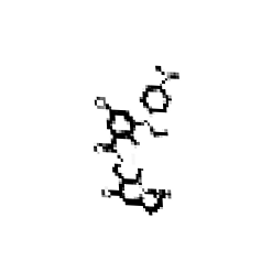 CCN(c1cc(Cl)cc(C(=O)NCc2c(C)n3[nH]ccc3cc2=O)c1C)[C@H]1CC[C@H](N(C)C)CC1